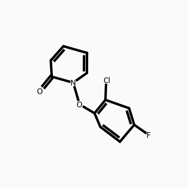 O=c1ccccn1Oc1ccc(F)cc1Cl